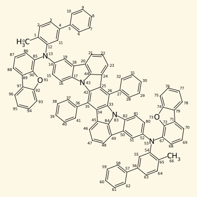 Cc1ccc(-c2ccccc2)cc1N(c1ccc2c(c1)c1cccc3c4c(-c5ccccc5)c5c(c(-c6ccccc6)c4n2c13)c1cccc2c3cc(N(c4cc(-c6ccccc6)ccc4C)c4cccc6c4oc4ccccc46)ccc3n5c21)c1cccc2c1oc1ccccc12